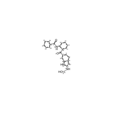 O=C(O)Nc1nc2ccc(C(=O)c3ccccc3NC(=O)c3ccccc3)cc2[nH]1